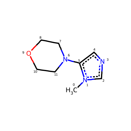 Cn1cncc1N1CCOCC1